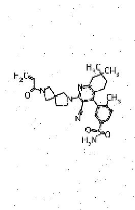 C=CC(=O)N1CC2(CCN(c3nc4c(c(-c5cc(S(N)(=O)=O)ccc5C)c3C#N)CCC(C)(C)C4)C2)C1